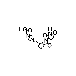 O=C(O)CN1CCN(CCc2cccc3c2CN(C2CCC(=O)NC2=O)C3=O)CC1